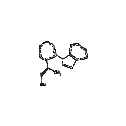 CCCC/N=C(\C)c1ccccc1C1C=Cc2ccccc21